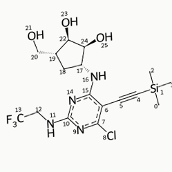 C[Si](C)(C)C#Cc1c(Cl)nc(NCC(F)(F)F)nc1N[C@@H]1C[C@H](CO)[C@@H](O)[C@H]1O